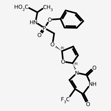 CC(NP(=O)(CO[C@@H]1C=C[C@H](n2cc(C(F)(F)F)c(=O)[nH]c2=O)O1)Oc1ccccc1)C(=O)O